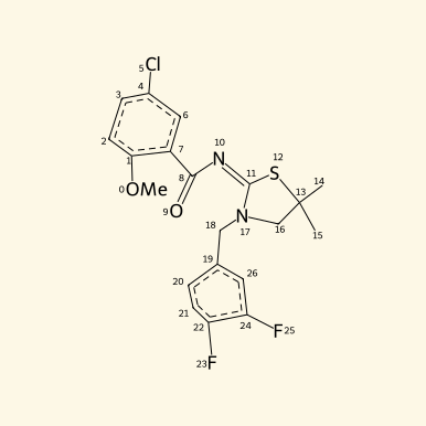 COc1ccc(Cl)cc1C(=O)N=C1SC(C)(C)CN1Cc1ccc(F)c(F)c1